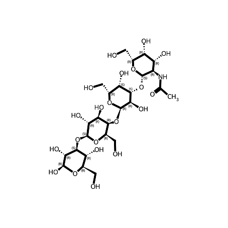 CC(=O)N[C@H]1[C@H](O[C@H]2[C@@H](O)[C@@H](CO)O[C@H](O[C@@H]3[C@H](O)[C@@H](O)[C@H](O[C@@H]4[C@@H](O)[C@H](O)O[C@H](CO)[C@H]4O)O[C@@H]3CO)[C@@H]2O)O[C@H](CO)[C@H](O)[C@@H]1O